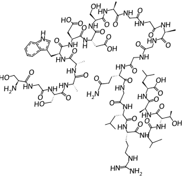 CC(C)C[C@H](NC(=O)[C@H](C)NC(=O)[C@@H](NC(=O)[C@@H](NC(=O)[C@H](CCCNC(=N)N)NC(=O)[C@H](CC(C)C)NC(=O)CNC(=O)[C@H](CCC(N)=O)NC(=O)CNC(=O)CNC(=O)[C@H](C)NC(=O)CNC(=O)CNC(=O)[C@H](C)NC(=O)[C@H](CO)NC(=O)[C@H](CC(=O)O)NC(=O)[C@H](CC(=O)O)NC(=O)[C@H](Cc1c[nH]c2ccccc12)NC(=O)[C@H](C)NC(=O)[C@H](C)NC(=O)[C@H](CO)NC(=O)CNC(=O)[C@@H](N)CO)C(C)C)[C@@H](C)O)C(=O)O